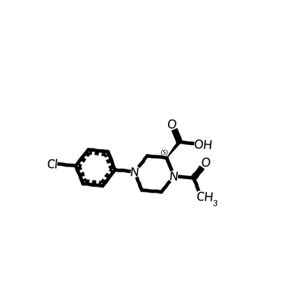 CC(=O)N1CCN(c2ccc(Cl)cc2)C[C@H]1C(=O)O